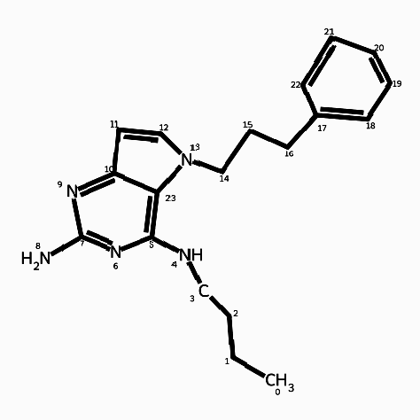 CCCCNc1nc(N)nc2ccn(CCCc3ccccc3)c12